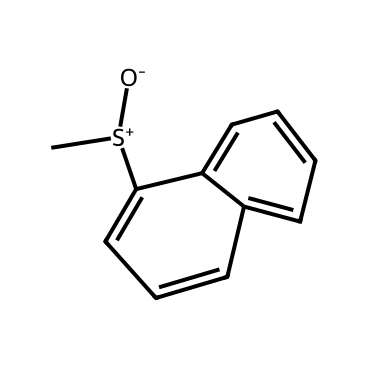 C[S+]([O-])c1cccc2ccccc12